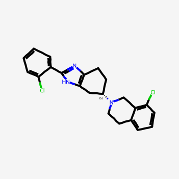 Clc1ccccc1-c1nc2c([nH]1)C[C@@H](N1CCc3cccc(Cl)c3C1)CC2